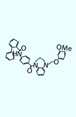 COc1cccc(OCCN2CCCN(C(=O)c3ccc(NC(=O)c4ccccc4-c4ccccc4)cc3)c3ccccc32)c1